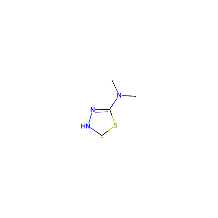 CN(C)C1=NN[C]S1